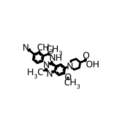 COc1cc2nc(C)nc(NC(C)c3cccc(C#N)c3C)c2cc1N1CCC(C(=O)O)CC1